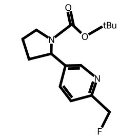 CC(C)(C)OC(=O)N1CCCC1c1ccc(CF)nc1